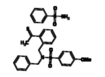 COc1ccc(S(=O)(=O)N(Cc2ccccc2)Cc2ccccc2C(C)=S)cc1.NS(=O)(=O)c1ccccc1